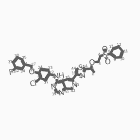 CC(OCCS(=O)(=O)c1ccccc1)c1nc(-c2cc3c(Nc4ccc(OCc5cccc(F)c5)c(Cl)c4)ncnc3cn2)cs1